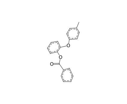 Cc1ccc(Oc2ccccc2OC(=O)c2ccccc2)cc1